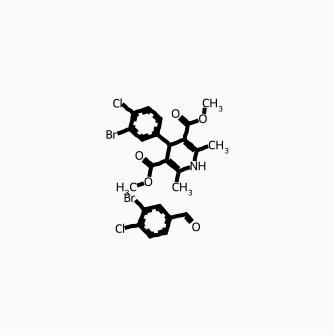 COC(=O)C1=C(C)NC(C)=C(C(=O)OC)C1c1ccc(Cl)c(Br)c1.O=Cc1ccc(Cl)c(Br)c1